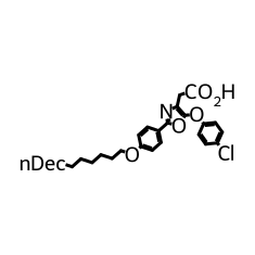 CCCCCCCCCCCCCCCCOc1ccc(-c2nc(CC(=O)O)c(Oc3ccc(Cl)cc3)o2)cc1